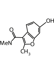 CNC(=O)c1c(C)oc2cc(O)ccc12